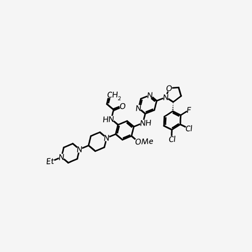 C=CC(=O)Nc1cc(Nc2cc(N3OCC[C@@H]3c3ccc(Cl)c(Cl)c3F)ncn2)c(OC)cc1N1CCC(N2CCN(CC)CC2)CC1